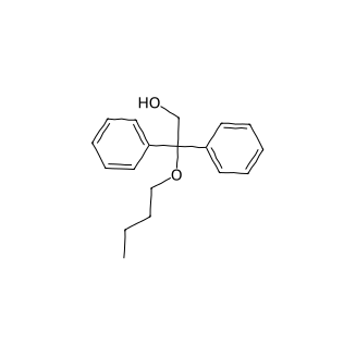 CCCCOC(CO)(c1ccccc1)c1ccccc1